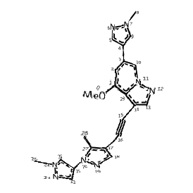 COc1cc(-c2cnn(C)c2)cn2ncc(C#Cc3cnn(-c4cnn(C)c4)c3C)c12